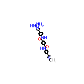 CN1CC(c2ccc(NC(=O)c3ccc(C(=O)Nc4ccc(C5CN(C(=N)N)C5)cc4)cc3)cc2)C1